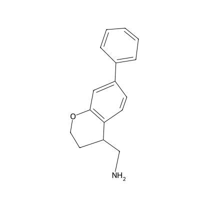 NCC1CCOc2cc(-c3ccccc3)ccc21